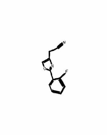 N#CCc1coc(-c2ccccc2F)n1